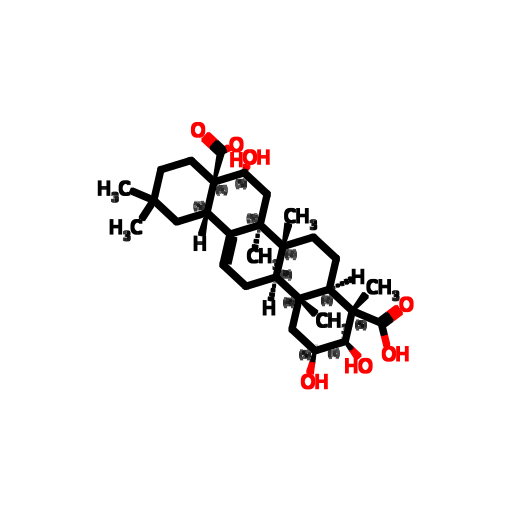 CC1(C)CC[C@]2(C(=O)O)[C@@H](O)C[C@]3(C)C(=CC[C@@H]4[C@@]5(C)C[C@H](O)[C@H](O)[C@@](C)(C(=O)O)[C@@H]5CC[C@]43C)[C@@H]2C1